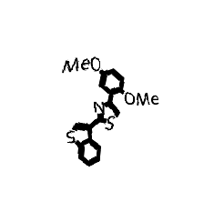 COc1ccc(OC)c(-c2csc(-c3csc4ccccc34)n2)c1